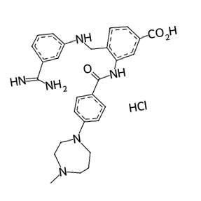 CN1CCCN(c2ccc(C(=O)Nc3cc(C(=O)O)ccc3CNc3cccc(C(=N)N)c3)cc2)CC1.Cl